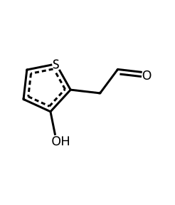 O=CCc1sccc1O